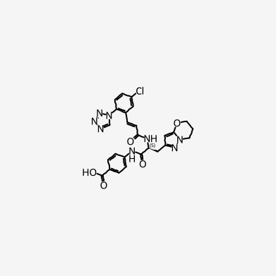 O=C(C=Cc1cc(Cl)ccc1-n1cnnn1)N[C@@H](Cc1cc2n(n1)CCCO2)C(=O)Nc1ccc(C(=O)O)cc1